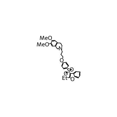 CCc1oc2ccccc2c1S(=O)(=O)c1ccc(OCCCN2CCc3cc(OC)c(OC)cc3C2)cc1